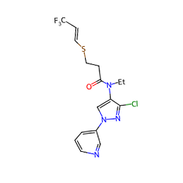 CCN(C(=O)CCS/C=C/C(F)(F)F)c1cn(-c2cccnc2)nc1Cl